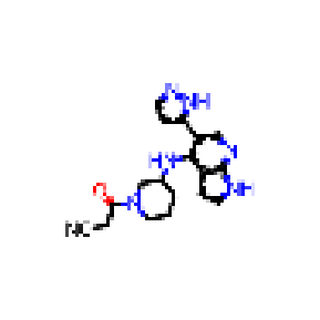 N#CCC(=O)N1CCCC(Nc2c(-c3ccn[nH]3)cnc3[nH]ccc23)C1